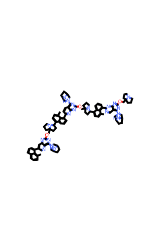 Cc1cccc2cccc(-c3cnc4c(N5CC6CCC(C5)N6)nc(OCC56CCCN5C(c5ccc(C)c7c(-c8ccc9c(N%10CC%11CCC(C%10)N%11)nc(OCC%10%11CCCN%10C(c%10ccc(C)c%12c(-c%13ncc%14c(N%15CC%16CCC(C%15)N%16)nc(OCC%15%16CCCN%15CCC%16)nc%14n%13)cccc%10%12)CC%11)nc9n8)cccc57)CC6)nc4c3)c12